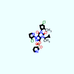 Cc1cc(Cl)ccc1N(C(=O)NC(C)C1CC1)C(=O)C1CC(OS(=O)(=O)c2cccnc2)=NN1c1ncccc1Cl